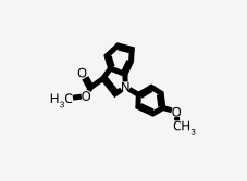 COC(=O)c1cn(-c2ccc(OC)cc2)c2ccccc12